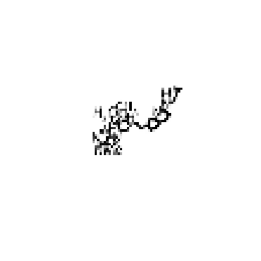 CNc1ncnc2c1CCN2[C@@H]1C[C@H](CCc2ccc3ccc(NCC4CC4)nc3c2)[C@H]2OC(C)(C)O[C@H]21